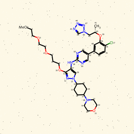 COCCOCCOCCCOc1nn(C2CCC(N3CCOCC3)CC2)cc1Nc1ncc(-c2ccc(Cl)c(O[C@@H](C)Cn3cnnn3)c2)cn1